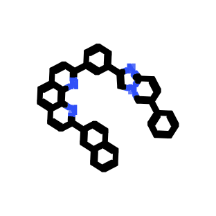 c1ccc(-c2ccc3nc(-c4cccc(-c5ccc6ccc7ccc(-c8ccc9ccccc9c8)nc7c6n5)c4)cn3c2)cc1